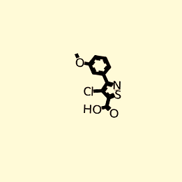 COc1cccc(-c2nsc(C(=O)O)c2Cl)c1